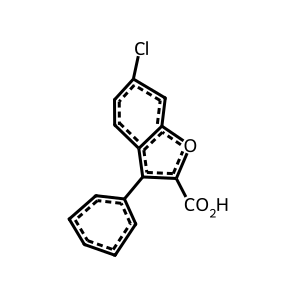 O=C(O)c1oc2cc(Cl)ccc2c1-c1ccccc1